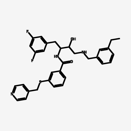 CCc1cccc(CNCC(O)C(Cc2cc(F)cc(F)c2)NC(=O)c2cccc(SCc3ccncc3)c2)c1